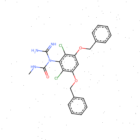 CNC(=O)N(C(=N)N)c1c(Cl)c(OCc2ccccc2)cc(OCc2ccccc2)c1Cl